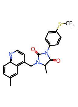 Cc1ccc2nccc(CN3C(=O)N(c4ccc(SC(F)(F)F)cc4)C(=O)C3C)c2c1